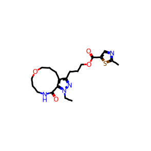 CCn1nc(CCCOC(=O)c2cnc(C)s2)c2c1C(=O)NCCCOCCC2